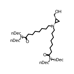 CCCCCCCCCCN(CCCCCCCCCC)C(=O)CCCCCCCN(CCCCCCCC(=O)N(CCCCCCCCCC)CCCCCCCCCC)[C@H]1C[C@@H]1CO